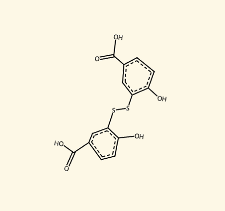 O=C(O)c1ccc(O)c(SSc2cc(C(=O)O)ccc2O)c1